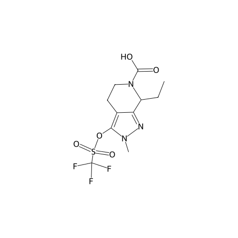 CCC1c2nn(C)c(OS(=O)(=O)C(F)(F)F)c2CCN1C(=O)O